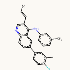 CC(=O)/C=C/c1cnc2ccc(-c3ccc(F)c(C)c3)cc2c1Nc1cccc(C(F)(F)F)c1